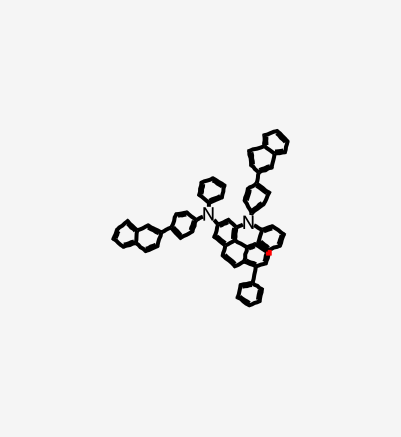 c1ccc(-c2cccc3c2ccc2cc(N(c4ccccc4)c4ccc(-c5ccc6ccccc6c5)cc4)cc(N(c4ccccc4)c4ccc(-c5ccc6ccccc6c5)cc4)c23)cc1